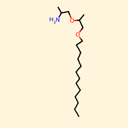 CCCCCCCCCCCCCOCC(C)OCC(C)N